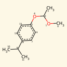 COC(C)Oc1ccc(C(C)C)cc1